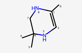 CC1=CNC(C)(C)CN1